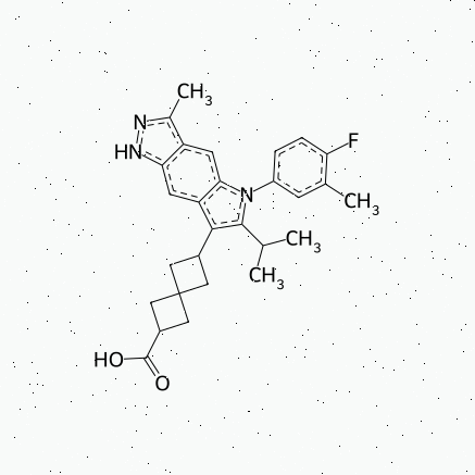 Cc1cc(-n2c(C(C)C)c(C3CC4(CC(C(=O)O)C4)C3)c3cc4[nH]nc(C)c4cc32)ccc1F